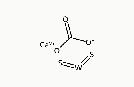 O=C([O-])[O-].[Ca+2].[S]=[W]=[S]